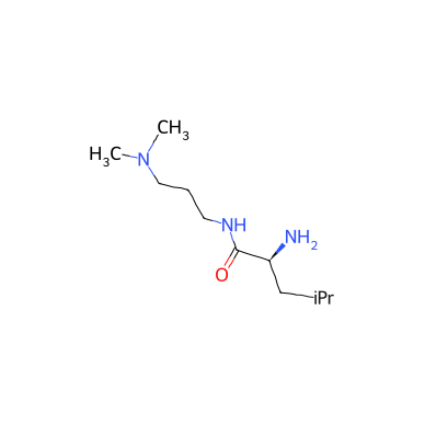 CC(C)C[C@H](N)C(=O)NCCCN(C)C